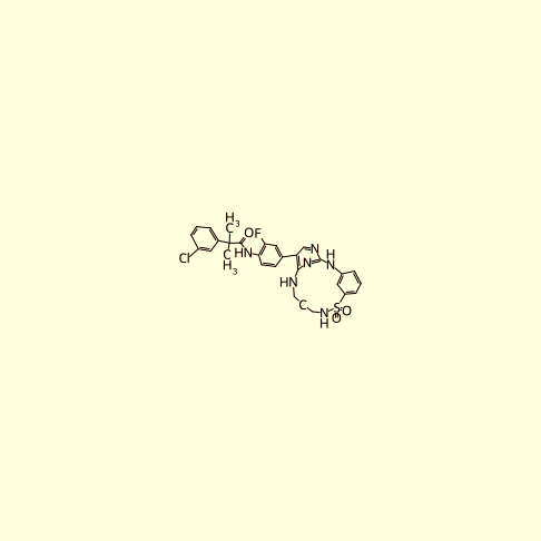 CC(C)(C(=O)Nc1ccc(-c2cnc3nc2NCCCNS(=O)(=O)c2cccc(c2)N3)cc1F)c1cccc(Cl)c1